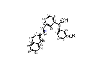 N#Cc1cccc(C(O)c2cccc(/C=C/c3ccc4ccccc4n3)c2)c1